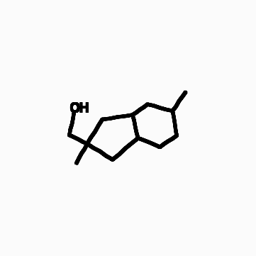 CC1CCC2CC(C)(CO)CC2C1